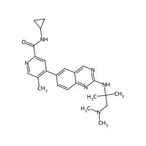 Cc1cnc(C(=O)NC2CC2)cc1-c1ccc2nc(NC(C)(C)CN(C)C)ncc2c1